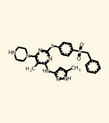 Cc1cc(Nc2nc(Sc3ccc(S(=O)(=O)Cc4ccccc4)cc3)nc(N3CCNCC3)c2C)n[nH]1